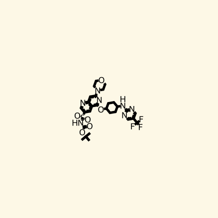 CC(C)(C)OC(=O)NS(=O)(=O)c1cnc2cc(N3CCOCC3)nc(OC3CCC(Nc4ncc(C(F)(F)F)cn4)CC3)c2c1